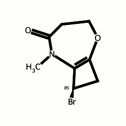 CN1C(=O)CCOC2=C1[C@H](Br)C2